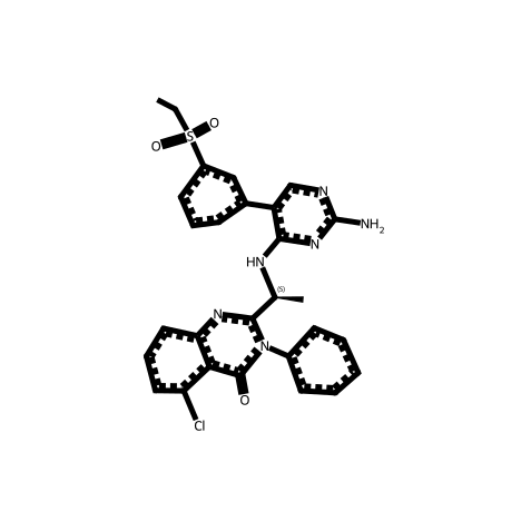 CCS(=O)(=O)c1cccc(-c2cnc(N)nc2N[C@@H](C)c2nc3cccc(Cl)c3c(=O)n2-c2ccccc2)c1